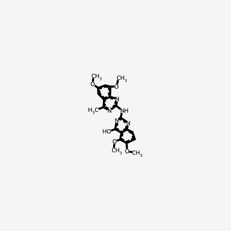 COc1cc(OC)c2nc(Nc3nc(O)c4c(OC)c(OC)ccc4n3)nc(C)c2c1